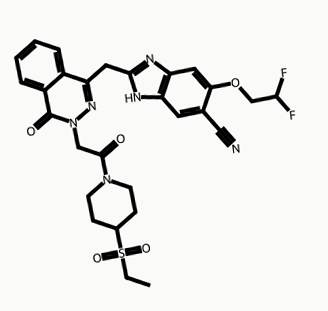 CCS(=O)(=O)C1CCN(C(=O)Cn2nc(Cc3nc4cc(OCC(F)F)c(C#N)cc4[nH]3)c3ccccc3c2=O)CC1